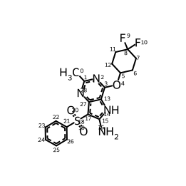 Cc1nc(OC2CCC(F)(F)CC2)c2[nH]c(N)c(S(=O)(=O)c3ccccc3)c2n1